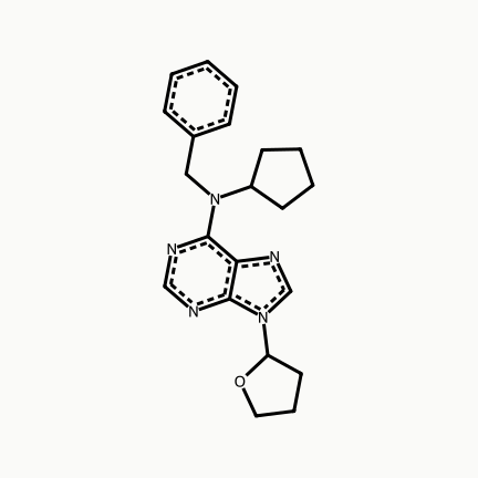 c1ccc(CN(c2ncnc3c2ncn3C2CCCO2)C2CCCC2)cc1